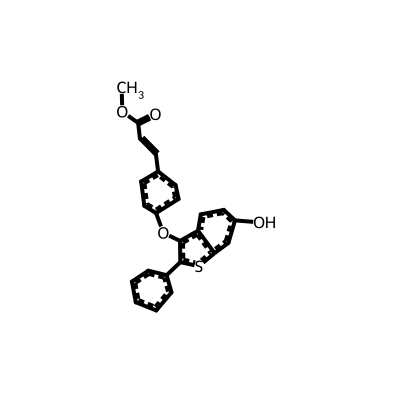 COC(=O)C=Cc1ccc(Oc2c(-c3ccccc3)sc3cc(O)ccc23)cc1